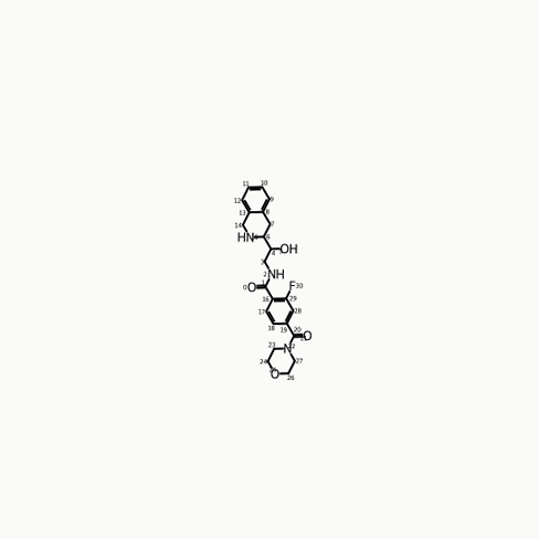 O=C(NCC(O)C1Cc2ccccc2CN1)c1ccc(C(=O)N2CCOCC2)cc1F